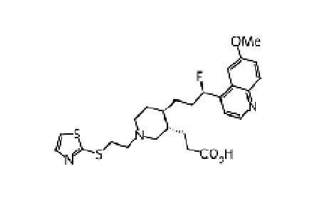 COc1ccc2nccc([C@H](F)CC[C@@H]3CCN(CCSc4nccs4)C[C@H]3CCC(=O)O)c2c1